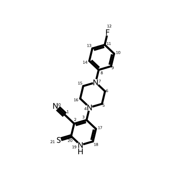 N#Cc1c(N2CCN(c3ccc(F)cc3)CC2)cc[nH]c1=S